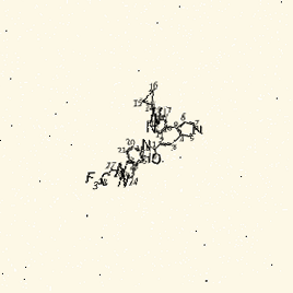 O=C(/C=C/c1cnccc1-c1cnn(C2CC2)c1)Nc1ccc2c(cnn2CC(F)(F)F)c1